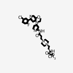 CS(=O)(=O)NCCN1CCN(CCC(=O)Nc2cc(N3CCOc4cnc(-c5cc(Cl)ccc5F)cc43)ccn2)CC1